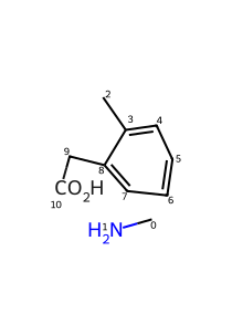 CN.Cc1ccccc1CC(=O)O